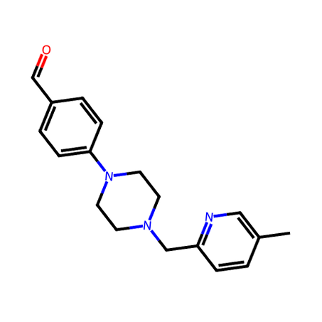 Cc1ccc(CN2CCN(c3ccc(C=O)cc3)CC2)nc1